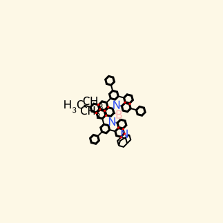 CC(C)(C)c1ccc(-c2cc3c4c(c2)N(c2c(-c5ccccc5)cc(-c5ccccc5)cc2-c2ccccc2)c2cc(N5C6CC7CC(C6)CC5C7)ccc2B4c2cc(-c4ccccc4)ccc2N3c2c(-c3ccccc3)cc(-c3ccccc3)cc2-c2ccccc2)cc1